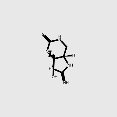 N=C1N[C@H]2CNC(=S)N3CCC(O)[C@]23N1